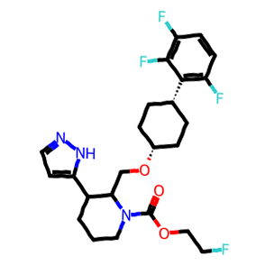 O=C(OCCF)N1CCCC(c2ccn[nH]2)C1CO[C@H]1CC[C@@H](c2c(F)ccc(F)c2F)CC1